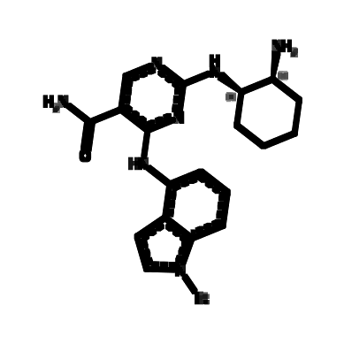 CCn1ccc2c(Nc3nc(N[C@@H]4CCCC[C@@H]4N)ncc3C(N)=O)cccc21